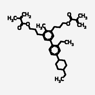 C=C(C)C(=O)OCCCc1cc(-c2ccc(C3CCC(CC)CC3)cc2CC)cc(CCCOC(=O)C(=C)C)c1C